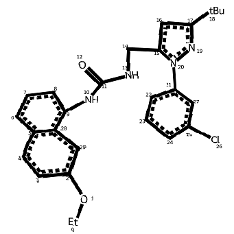 CCOc1ccc2cccc(NC(=O)NCc3cc(C(C)(C)C)nn3-c3cccc(Cl)c3)c2c1